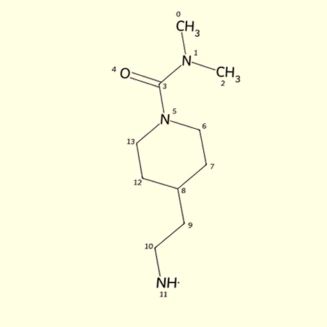 CN(C)C(=O)N1CCC(CC[NH])CC1